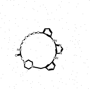 O=C1CN2CCN(CC2)Cc2cccc(c2)Nc2cc(ncn2)Nc2cccc(c2)OCCCCCN1